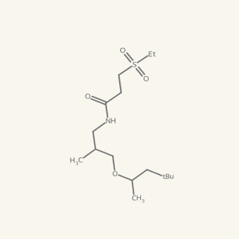 CCS(=O)(=O)CCC(=O)NCC(C)COC(C)CC(C)(C)C